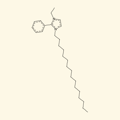 CCCCCCCCCCCCCCCC[n+]1ccn(CC)c1-c1ccccc1